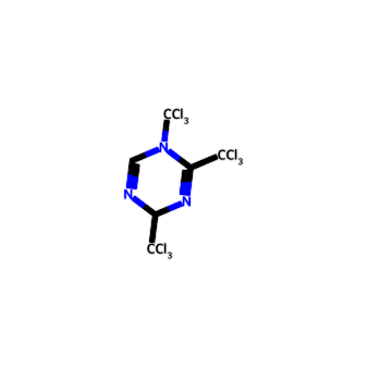 ClC(Cl)(Cl)C1=NC(C(Cl)(Cl)Cl)N=CN1C(Cl)(Cl)Cl